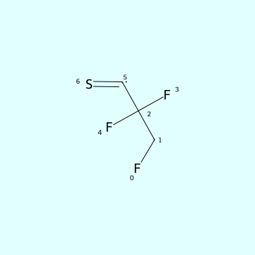 FCC(F)(F)[C]=S